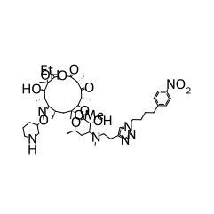 CC[C@H]1OC(=O)[C@H](C)C(=O)[C@H](C)[C@@H](O[C@@H]2O[C@H](C)C[C@H](N(C)CCc3cn(CCCCc4ccc([N+](=O)[O-])cc4)nn3)[C@H]2O)[C@](C)(OC)C[C@@H](C)/C(=N\OC2CCCNC2)[C@H](C)[C@@H](O)[C@]1(C)O